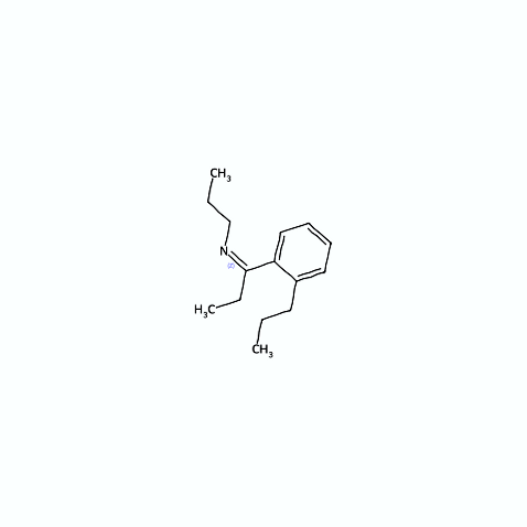 CCC/N=C(/CC)c1ccccc1CCC